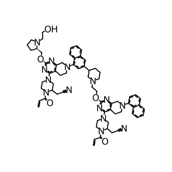 C=CC(=O)N1CCN(c2nc(OCCN3CCCC(c4cc(N5CCc6c(nc(OC[C@H]7CCCN7CCO)nc6N6CCN(C(=O)C=C)C(CC#N)C6)C5)c5ccccc5c4)C3)nc3c2CCN(c2cccc4ccccc24)C3)CC1CC#N